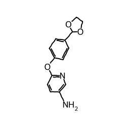 Nc1ccc(Oc2ccc(C3OCCO3)cc2)nc1